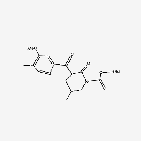 COc1cc(C(=O)C2CC(C)CN(C(=O)OC(C)(C)C)C2=O)ccc1C